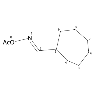 CC(=O)ON=CC1CCCCCC1